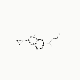 CC(CCN)c1ccc2nc(C3CC3)nc(Cl)c2c1